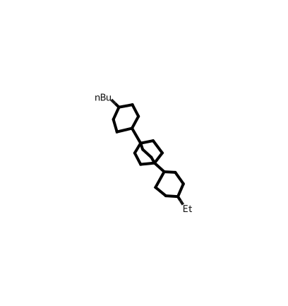 CCCCC1CCC(C23CCC(C4CCC(CC)CC4)(CC2)CC3)CC1